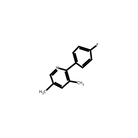 Cc1cnc(-c2ccc(F)cc2)c(C)c1